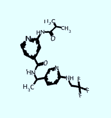 CC(C)C(=O)Nc1cc(C(=O)NC(C)c2ccc(NCC(F)(F)F)nc2)ccn1